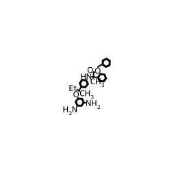 CCC(C)(Oc1cc(N)cc(N)c1)c1ccc(NC(C)(C(=O)OCc2ccccc2)c2ccccc2)cc1